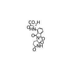 O=C1CCC(N2C(=O)c3cccc(NCC(=O)C(=O)O)c3C2=O)C(=O)N1